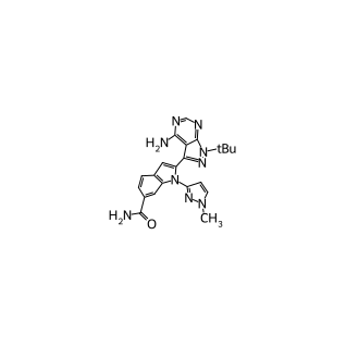 Cn1ccc(-n2c(-c3nn(C(C)(C)C)c4ncnc(N)c34)cc3ccc(C(N)=O)cc32)n1